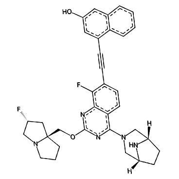 Oc1cc(C#Cc2ccc3c(N4C[C@H]5CC[C@@H](C4)N5)nc(OC[C@@]45CCCN4C[C@H](F)C5)nc3c2F)c2ccccc2c1